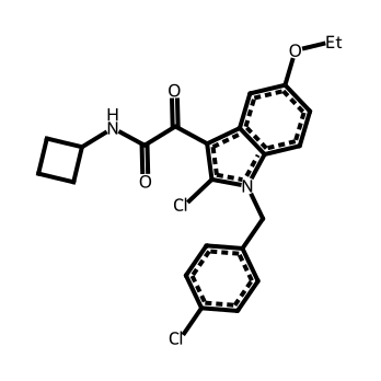 CCOc1ccc2c(c1)c(C(=O)C(=O)NC1CCC1)c(Cl)n2Cc1ccc(Cl)cc1